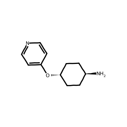 N[C@H]1CC[C@H](Oc2ccncc2)CC1